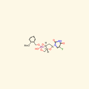 COc1ccccc1CO[PH]1(O)OC[C@H]2O[C@@H](n3cc(F)c(=O)[nH]c3=O)C[C@@H]2O1